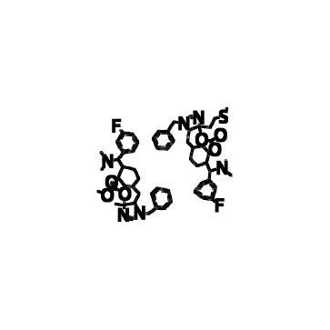 COC(=O)OC1(C)N=CN(Cc2ccccc2)C1CC1CCC(C(c2cccc(F)c2)N(C)C)CC1.COC(=O)OC1(CCSC)N=CN(Cc2ccccc2)C1CC1CCC(C(c2cccc(F)c2)N(C)C)CC1